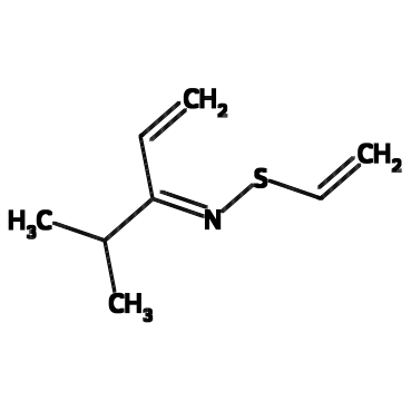 C=CS/N=C(\C=C)C(C)C